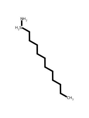 CCCCCCCCCCC[SiH2]N